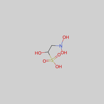 O=S(=O)(O)C(O)CN(O)O